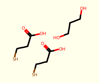 O=C(O)CCS.O=C(O)CCS.OCCCO